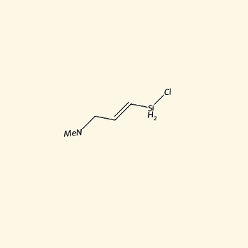 CNCC=C[SiH2]Cl